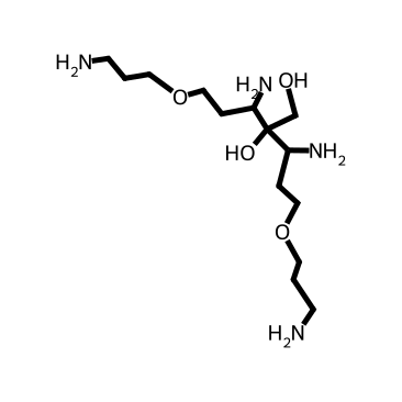 NCCCOCCC(N)C(O)(CO)C(N)CCOCCCN